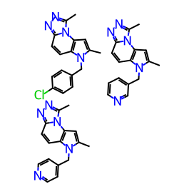 Cc1cc2c(ccc3nnc(C)n32)n1Cc1ccc(Cl)cc1.Cc1cc2c(ccc3nnc(C)n32)n1Cc1cccnc1.Cc1cc2c(ccc3nnc(C)n32)n1Cc1ccncc1